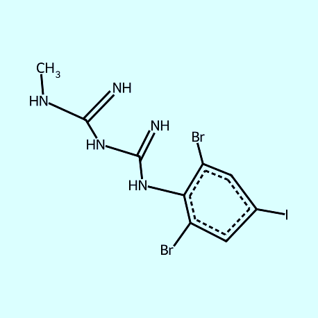 CNC(=N)NC(=N)Nc1c(Br)cc(I)cc1Br